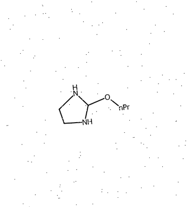 CCCO[C]1NCCN1